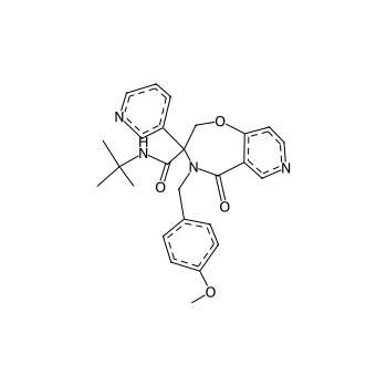 COc1ccc(CN2C(=O)c3cnccc3OCC2(C(=O)NC(C)(C)C)c2cccnc2)cc1